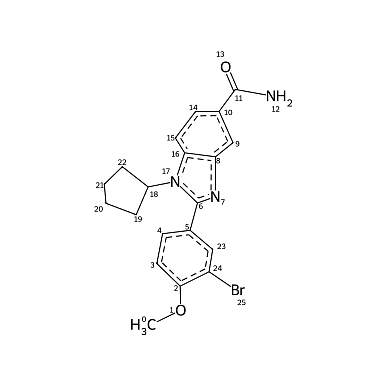 COc1ccc(-c2nc3cc(C(N)=O)ccc3n2C2CCCC2)cc1Br